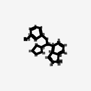 Brc1cccc(CN(c2ncnc3[nH]ncc23)C2CCCC2)c1